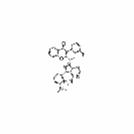 CC(c1oc2ccccc2c(=O)c1-c1cccc(F)c1)n1nc(-c2cccc(N(C)C)c2)c2c(N)ncnc21